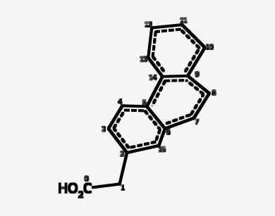 O=C(O)Cc1ccc2c(ccc3ccccc32)c1